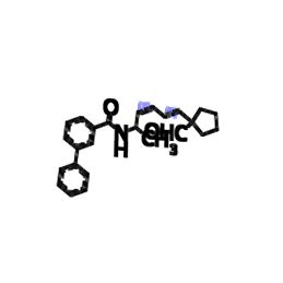 CC(/C=C\C=C\C1(C=O)CCCC1)NC(=O)c1cccc(-c2ccccc2)c1